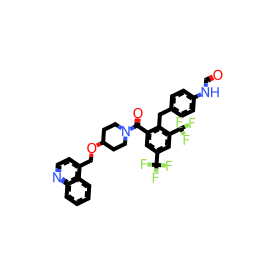 O=CNc1ccc(Cc2c(C(=O)N3CCC(OCc4ccnc5ccccc45)CC3)cc(C(F)(F)F)cc2C(F)(F)F)cc1